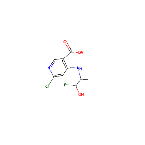 CC(Nc1cc(Cl)ncc1C(=O)O)C(O)F